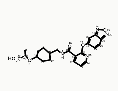 C[C@@H](OC1CCC(CNC(=O)c2cccnc2Oc2ccc3nonc3c2)CC1)C(=O)O